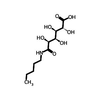 CCCCCNC(=O)[C@@H](O)[C@H](O)[C@@H](O)[C@@H](O)C(=O)O